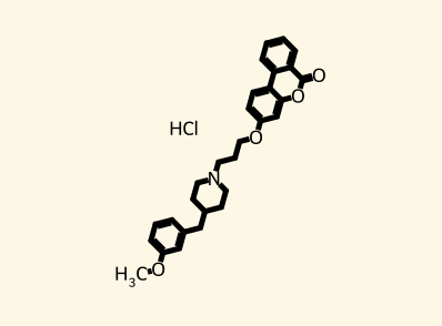 COc1cccc(CC2CCN(CCCOc3ccc4c(c3)oc(=O)c3ccccc34)CC2)c1.Cl